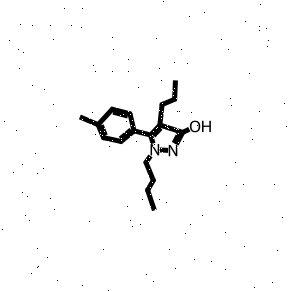 CCCCn1nc(O)c(CCC)c1-c1ccc(C)cc1